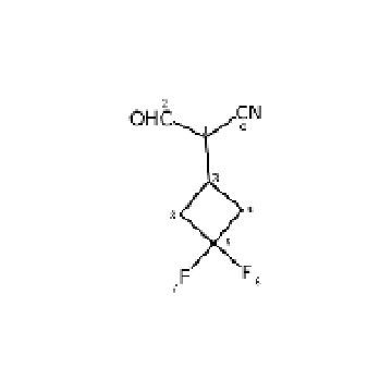 N#CC(C=O)C1CC(F)(F)C1